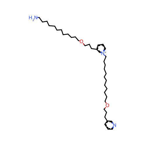 NCCCCCCCCCCCCOCCCc1ccc[n+](CCCCCCCCCCCCOCCCc2cccnc2)c1